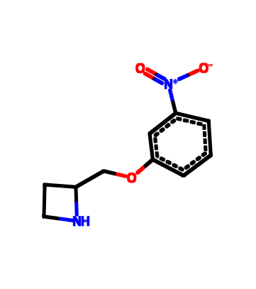 O=[N+]([O-])c1cccc(OCC2CCN2)c1